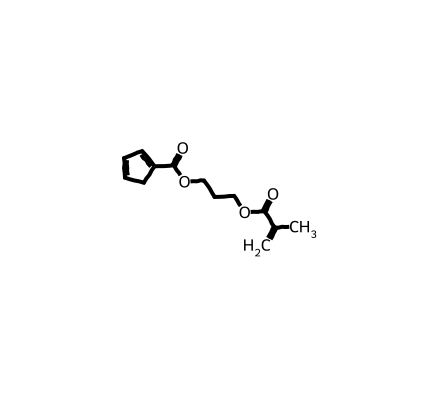 C=C(C)C(=O)OCCCOC(=O)C1=CC=CC1